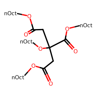 CCCCCCCCOC(=O)CC(CC(=O)OCCCCCCCC)(OCCCCCCCC)C(=O)OCCCCCCCC